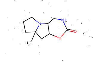 CC12CCCN1C1CNC(=O)OC1C2